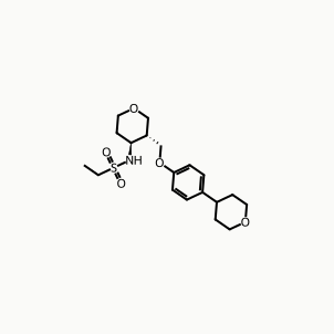 CCS(=O)(=O)N[C@H]1CCOC[C@@H]1COc1ccc(C2CCOCC2)cc1